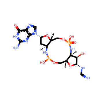 N=CN[C@@H]1O[C@@H]2COP(O)N[C@H]3C[C@H](n4cnc5c(=O)[nH]c(N)nc54)O[C@@H]3COP(=O)(O)N[C@H]2[C@H]1O